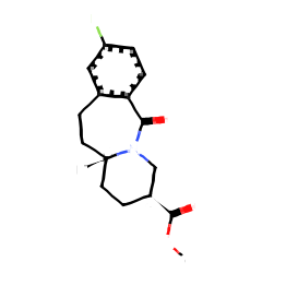 COC(=O)[C@H]1CC[C@@H]2CCc3cc(F)ccc3C(=O)N2C1